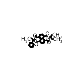 CCC(CC)N1C(=O)c2ccc3c4c(ccc(c24)C1=O)C(=O)N(C(CC)c1ccccc1)C3=O